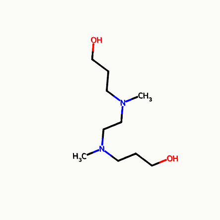 CN(CCCO)CCN(C)CCCO